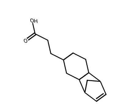 O=C(O)CCC1CCC2C3C=CC(C3)C2C1